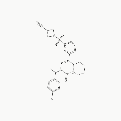 CC(NC(=O)[C@H]1CCCCN1C(=O)c1cccc(S(=O)(=O)N2CC(C#N)C2)c1)c1ccc(Cl)cc1